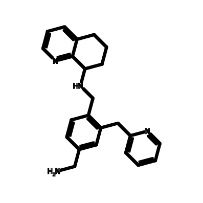 NCc1ccc(CNC2CCCc3cccnc32)c(Cc2ccccn2)c1